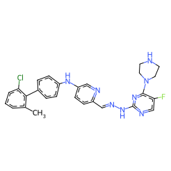 Cc1cccc(Cl)c1-c1ccc(Nc2ccc(/C=N/Nc3ncc(F)c(N4CCNCC4)n3)nc2)cc1